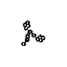 c1ccc(-c2ccc3cc4c(cc3c2)oc2c(-c3ccc5ccc6cccc7ccc3c5c67)ccc(-c3ccc(-c5ccc6ccc7cccc8ccc5c6c78)cc3)c24)cc1